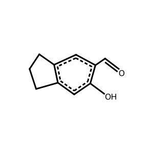 O=Cc1cc2c(cc1O)CCC2